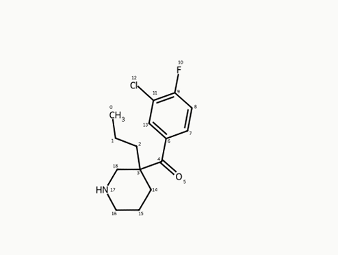 CCCC1(C(=O)c2ccc(F)c(Cl)c2)CCCNC1